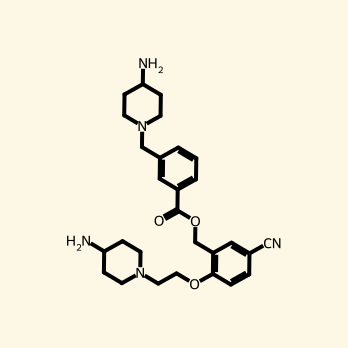 N#Cc1ccc(OCCN2CCC(N)CC2)c(COC(=O)c2cccc(CN3CCC(N)CC3)c2)c1